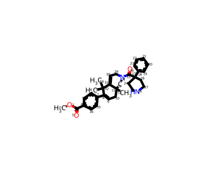 COC(=O)c1ccc(C2=CCC3(C)CN(C(=O)C4(c5ccccc5)CCNCC4)CC=C3C2(C)C)cc1